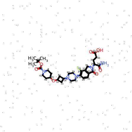 CC(C)(C)OC(=O)N1CCC(OC2CC(N3CCN(c4ccc5c(c4F)CN(C(CCC(=O)O)C(N)=O)C5=O)CC3)C2)CC1